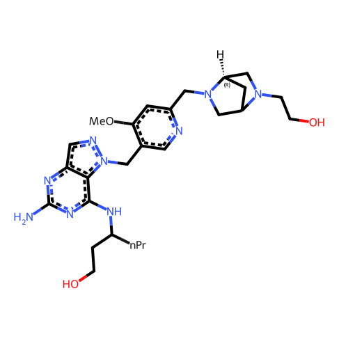 CCCC(CCO)Nc1nc(N)nc2cnn(Cc3cnc(CN4CC5C[C@@H]4CN5CCO)cc3OC)c12